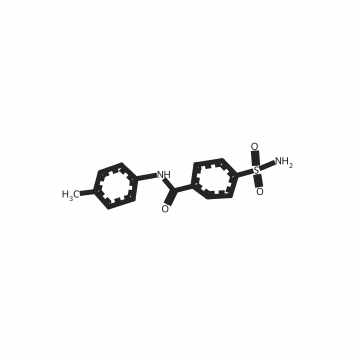 Cc1ccc(NC(=O)c2ccc(S(N)(=O)=O)cc2)cc1